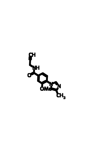 C#CCNC(=O)c1ccc(-n2cnc(C)c2)c(OC)c1